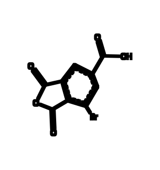 O=C(O)c1cc(Br)c2c(c1)C(=O)OC2=O